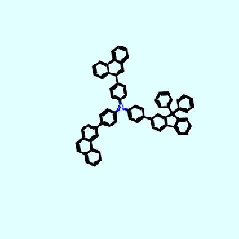 c1ccc(C2(c3ccccc3)c3ccccc3-c3ccc(-c4ccc(N(c5ccc(-c6ccc7ccc8ccccc8c7c6)cc5)c5ccc(-c6cc7ccccc7c7ccccc67)cc5)cc4)cc32)cc1